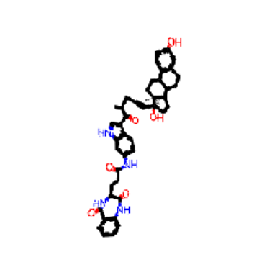 CC(CC#CC1(O)CCC2C3CCc4cc(O)ccc4C3CC[C@@]21C)C(=O)c1c[nH]c2cc(NC(=O)CCC3NC(=O)c4ccccc4NC3=O)ccc12